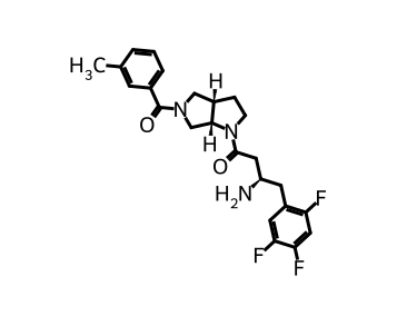 Cc1cccc(C(=O)N2C[C@@H]3CCN(C(=O)C[C@H](N)Cc4cc(F)c(F)cc4F)[C@@H]3C2)c1